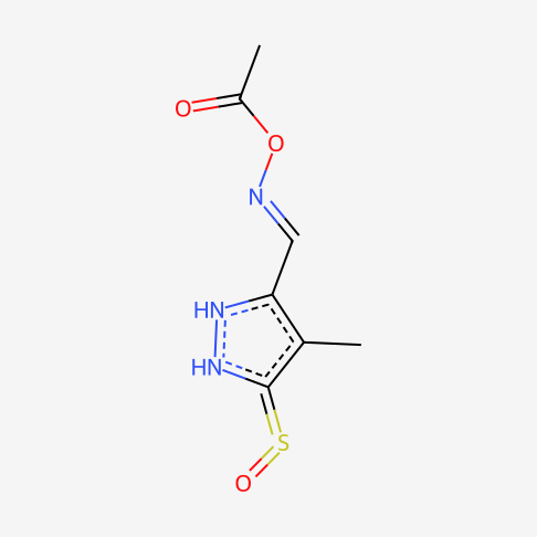 CC(=O)ON=Cc1[nH][nH]c(=S=O)c1C